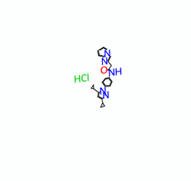 Cl.O=C(Cc1cn2ccccc2n1)Nc1ccc(-n2nc(C3CC3)cc2C2CC2)cc1